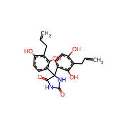 C=CCc1c(O)ccc(C2(c3ccc(O)c(CC=C)c3O)NC(=O)NC2=O)c1O